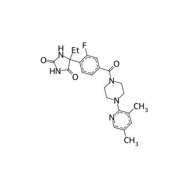 CCC1(c2ccc(C(=O)N3CCN(c4ncc(C)cc4C)CC3)cc2F)NC(=O)NC1=O